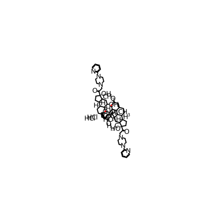 C[C@]12CC(O)(C(=O)c3ccco3)[C@H]3[C@@H](CCC4=CC(=O)CC(C5CC(=O)C=C6CC[C@H]7[C@@H]8CC[C@](O)(C(=O)CN9CCN(c%10ccccn%10)CC9)[C@@]8(C)CC(O)[C@@H]7[C@]65C)[C@@]43C)[C@@H]1CC[C@]2(O)C(=O)CN1CCN(c2ccccn2)CC1.Cl.Cl